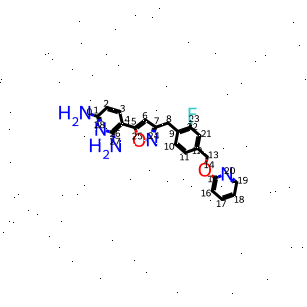 Nc1ccc(-c2cc(Cc3ccc(COc4ccccn4)cc3F)no2)c(N)n1